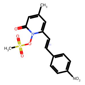 Cc1cc(/C=C/c2ccc([N+](=O)[O-])cc2)n(OS(C)(=O)=O)c(=O)c1